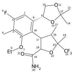 CCOc1c(C)c(F)cc([C@@H]2COC(C)(C)O2)c1C1C(C(N)=O)OC(C)(C(F)(F)F)C1C